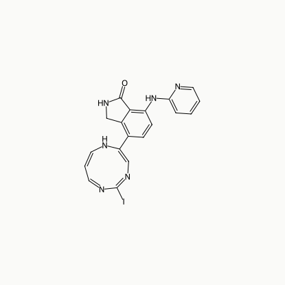 O=C1NCc2c(-c3cnc(I)nccc[nH]3)ccc(Nc3ccccn3)c21